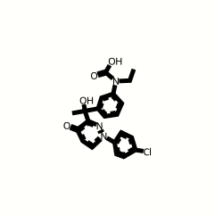 CCN(C(=O)O)c1cccc(C(C)(O)c2nn(-c3ccc(Cl)cc3)ccc2=O)c1